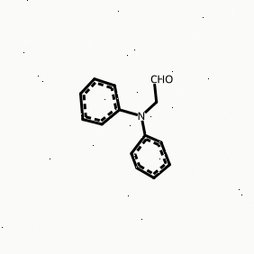 O=CCN(c1ccccc1)c1ccccc1